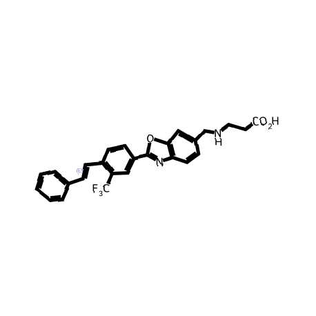 O=C(O)CCNCc1ccc2nc(-c3ccc(/C=C/c4ccccc4)c(C(F)(F)F)c3)oc2c1